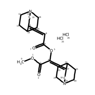 COC(=O)C(OC(=O)C=C1CN2CCC1CC2)=C1CN2CCC1CC2.Cl.Cl